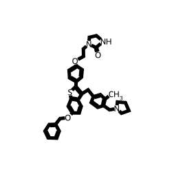 Cc1cc(Cc2c(-c3ccc(OCCN4CCNC4=O)cc3)sc3cc(OCc4ccccc4)ccc23)ccc1CN1CCCC1